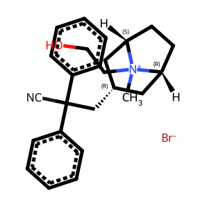 C[N+]1(CCO)[C@@H]2CC[C@H]1C[C@@H](CC(C#N)(c1ccccc1)c1ccccc1)C2.[Br-]